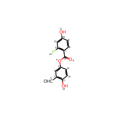 O=Cc1cc(OC(=O)c2ccc(O)cc2F)ccc1O